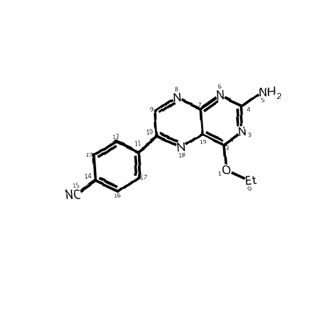 CCOc1nc(N)nc2ncc(-c3ccc(C#N)cc3)nc12